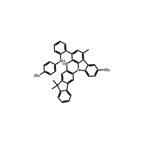 Cc1cc(-c2ccccc2Nc2ccc(C(C)(C)C)cc2)c2c3c1c1cc(C(C)(C)C)ccc1n3-c1cc3c(cc1B2)C(C)(C)c1ccccc1-3